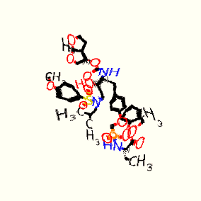 CCOC(=O)[C@H](CC)NP(=O)(COc1ccc(C[C@H](NC(=O)O[C@H]2CO[C@H]3OCCC32)[C@H](O)CN(CC(C)C)S(=O)(=O)c2ccc(OC)cc2)cc1)Oc1ccccc1